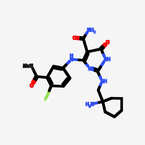 CNC(=O)c1cc(Nc2nc(NCC3(N)CCCCC3)[nH]c(=O)c2C(N)=O)ccc1F